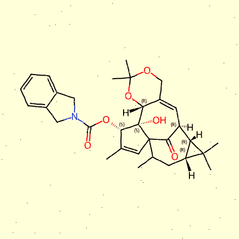 CC1=CC23C(=O)[C@@H](C=C4COC(C)(C)O[C@H]4[C@]2(O)[C@H]1OC(=O)N1Cc2ccccc2C1)[C@H]1[C@@H](CC3C)C1(C)C